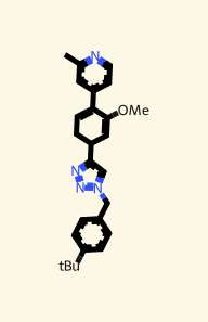 COC1=CC(c2cn(Cc3ccc(C(C)(C)C)cc3)nn2)CC=C1c1ccnc(C)c1